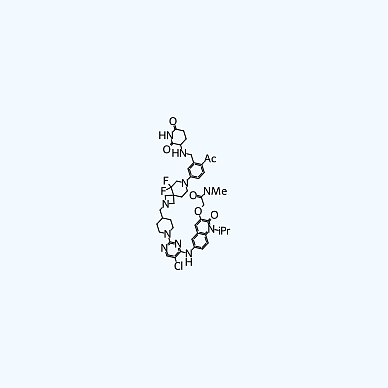 CNC(=O)COc1cc2cc(Nc3nc(N4CCC(CN5CC6(CCN(c7ccc(C(C)=O)c(CNC8CCC(=O)NC8=O)c7)CC6(F)F)C5)CC4)ncc3Cl)ccc2n(C(C)C)c1=O